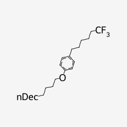 CCCCCCCCCCCCCCOc1ccc(CCCCCC(F)(F)F)cc1